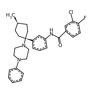 C[C@H]1CC[C@](c2cccc(NC(=O)c3ccc(F)c(Cl)c3)c2)(N2CCN(c3ccccc3)CC2)CC1